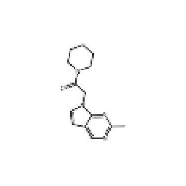 Cc1ncc2ccn(CC(=O)N3CCCCC3)c2n1